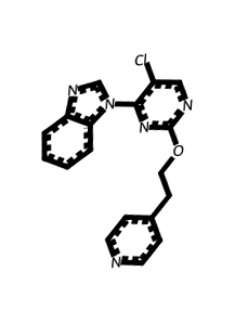 Clc1cnc(OCCc2ccncc2)nc1-n1cnc2ccccc21